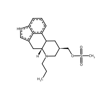 CCCN1C[C@H](COS(C)(=O)=O)CC2c3cccc4[nH]cc(c34)C[C@H]21